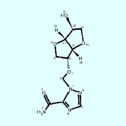 NC(=O)c1ncnn1CO[C@@H]1CO[C@H]2[C@@H]1OC[C@@H]2O